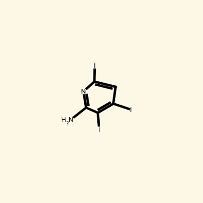 Nc1nc(I)cc(I)c1I